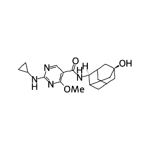 COc1nc(NC2CC2)ncc1C(=O)N[C@H]1C2CC3CC1C[C@@](O)(C3)C2